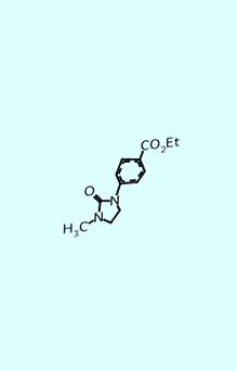 CCOC(=O)c1ccc(N2CCN(C)C2=O)cc1